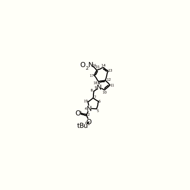 CC(C)(C)OC(=O)N1CCC(Cn2ccc3ccc([N+](=O)[O-])cc32)C1